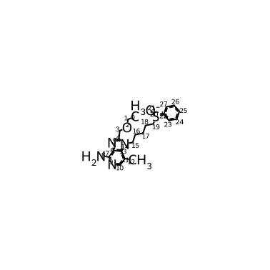 CCOCc1nc2c(N)ncc(C)c2n1CCCCC[S+]([O-])c1ccccc1